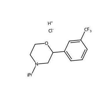 CC(C)N1CCOC(c2cccc(C(F)(F)F)c2)C1.[Cl-].[H+]